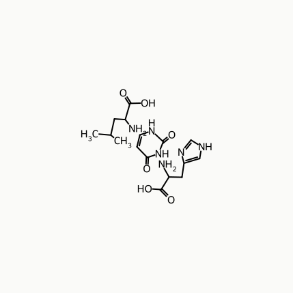 CC(C)CC(N)C(=O)O.NC(Cc1c[nH]cn1)C(=O)O.O=c1cc[nH]c(=O)[nH]1